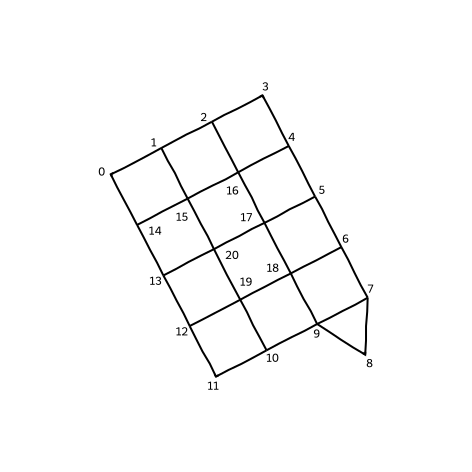 C1C2C3CC4C5C6C7CC78C7CC9C%10C1C21C34C52C68C97C%1012